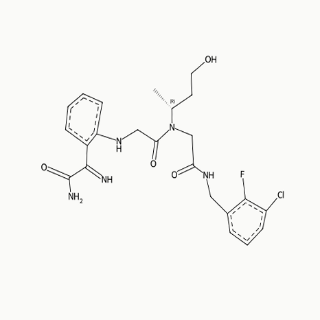 C[C@H](CCO)N(CC(=O)NCc1cccc(Cl)c1F)C(=O)CNc1ccccc1C(=N)C(N)=O